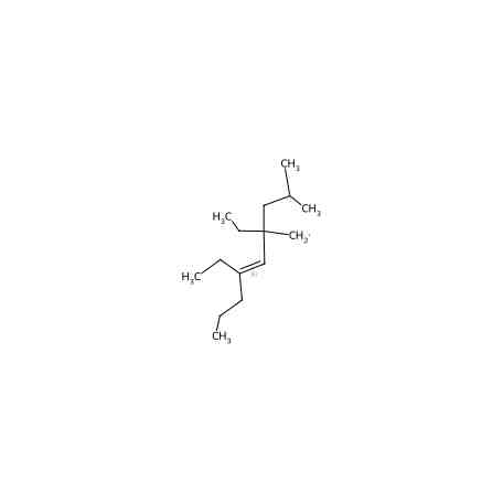 [CH2]C(/C=C(\CC)CCC)(CC)CC(C)C